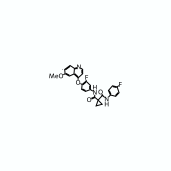 COc1[c]cc2nccc(Oc3ccc(NC(=O)C4(C(=O)Nc5ccc(F)cc5)CC4)cc3F)c2c1